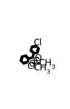 CC(C)S(=O)(=O)C(c1ccc(Cl)cc1)c1ccccc1Cl